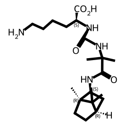 CC(C)(NC(=O)N[C@@H](CCCCN)C(=O)O)C(=O)N[C@H]1C[C@H]2CC[C@]1(C)C2(C)C